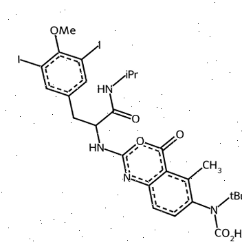 COc1c(I)cc(CC(Nc2nc3ccc(N(C(=O)O)C(C)(C)C)c(C)c3c(=O)o2)C(=O)NC(C)C)cc1I